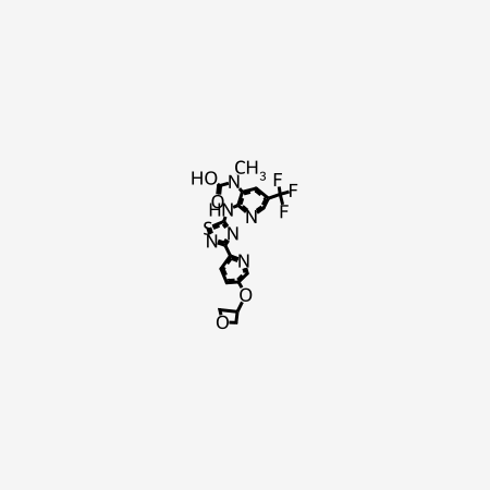 CN(C(=O)O)c1cc(C(F)(F)F)cnc1Nc1nc(-c2ccc(OC3COC3)cn2)ns1